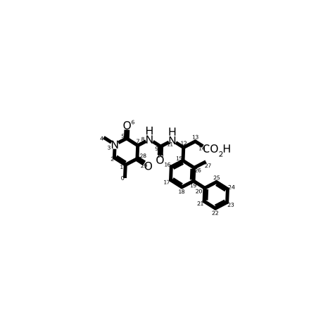 CC1=CN(C)C(=O)C(NC(=O)NC(CC(=O)O)c2cccc(-c3ccccc3)c2C)C1=O